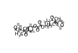 CC(C)(C(=O)c1ccc(OC(=O)C(=O)Oc2ccc(C(=O)C(C)(C)N3CCOCC3)cc2)cc1)N1CCOCC1